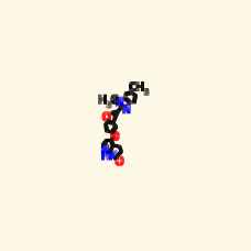 Cc1ccc2nc(C3C4Oc5ccc(Oc6ccnc7c6CCC(=O)N7)cc5C43)n(C)c2c1